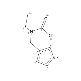 CCN(Cc1ccsc1)C(=O)Cl